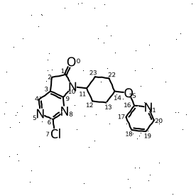 O=C1Cc2cnc(Cl)nc2N1C1CCC(Oc2ccccn2)CC1